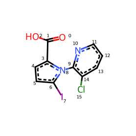 O=C(O)c1ccc(I)n1-c1ncccc1Cl